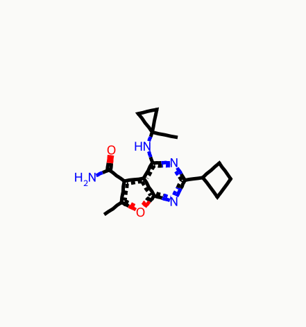 Cc1oc2nc(C3CCC3)nc(NC3(C)CC3)c2c1C(N)=O